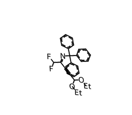 CCOC(C#C/C(=N\C(c1ccccc1)(c1ccccc1)c1ccccc1)C(F)F)OCC